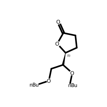 CCCCOCC(OCCCC)[C@@H]1CCC(=O)O1